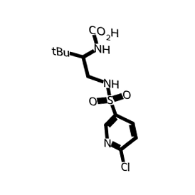 CC(C)(C)C(CNS(=O)(=O)c1ccc(Cl)nc1)NC(=O)O